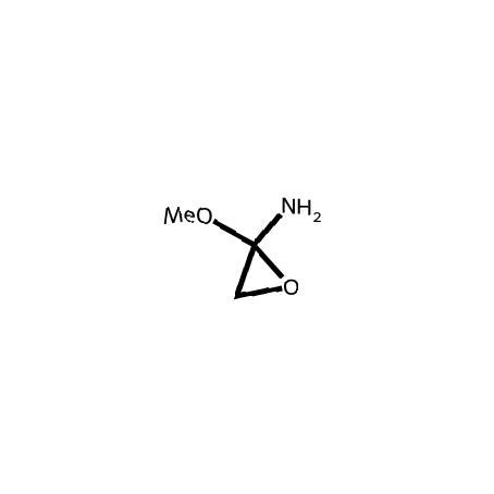 COC1(N)CO1